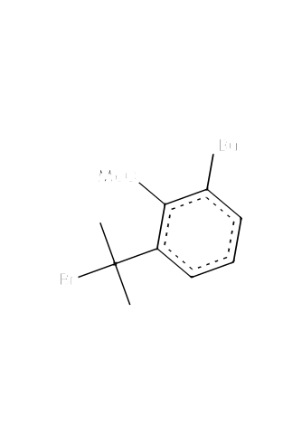 COc1c(C(C)(C)C)cccc1C(C)(C)Br